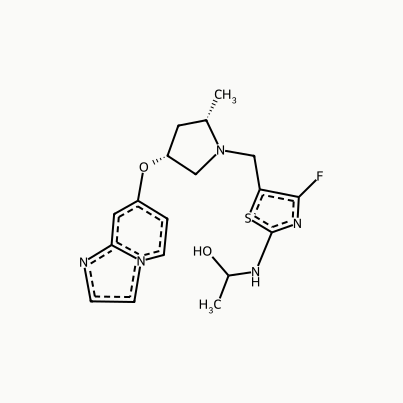 CC(O)Nc1nc(F)c(CN2C[C@H](Oc3ccn4ccnc4c3)C[C@@H]2C)s1